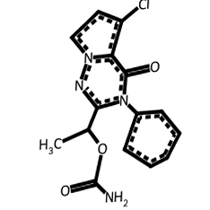 CC(OC(N)=O)c1nn2ccc(Cl)c2c(=O)n1-c1ccccc1